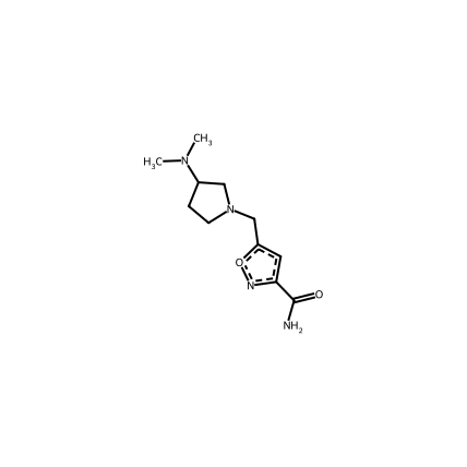 CN(C)C1CCN(Cc2cc(C(N)=O)no2)C1